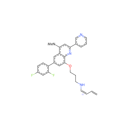 C=C/C=C\NCCCOc1cc(-c2ccc(F)cc2F)cc2c(NC)cc(-c3cccnc3)nc12